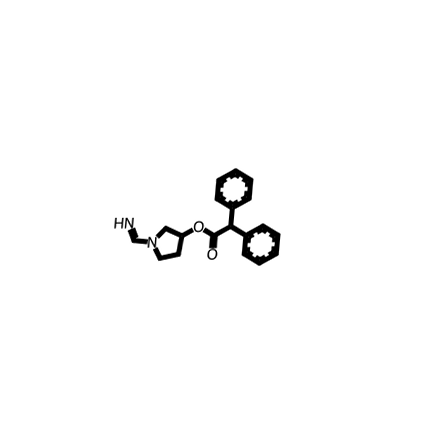 N=CN1CCC(OC(=O)C(c2ccccc2)c2ccccc2)C1